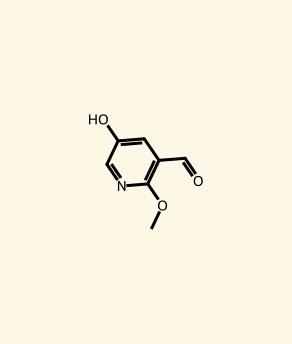 COc1ncc(O)cc1C=O